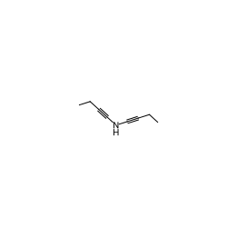 CCC#CNC#CCC